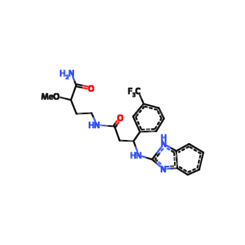 COC(CCNC(=O)CC(Nc1nc2ccccc2[nH]1)c1cccc(C(F)(F)F)c1)C(N)=O